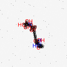 COc1cc(C2CC(c3cc(CO)c(CO)c(CO)c3)=NO2)cc(OC)c1OCCCCCCCCCCOc1ccc(C2NC(=O)c3ccccc3N2)cc1CO